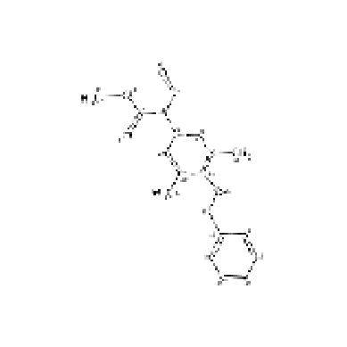 COC(=O)C(C=O)c1cc(C)c(OCc2ccccc2)c(C)c1